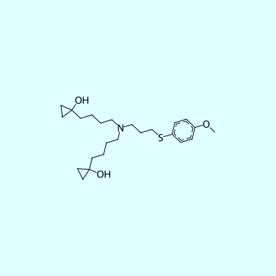 COc1ccc(SCCCN(CCCCC2(O)CC2)CCCCC2(O)CC2)cc1